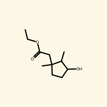 CCOC(=O)CC1(C)CCC(O)C1C